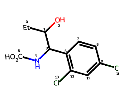 CCC(O)C(NC(=O)O)c1ccc(Cl)cc1Cl